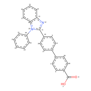 O=C(O)c1ccc(-c2ccc(-c3nc4ccccc4n3-c3ccccc3)cc2)cc1